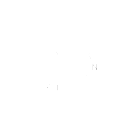 C/C=C\C/C=C\c1ccns1